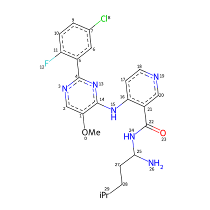 COc1cnc(-c2cc(Cl)ccc2F)nc1Nc1ccncc1C(=O)NC(N)CCC(C)C